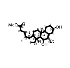 CC[C@@H]1C2C[C@H](O)CC[C@]2(C)[C@H]2CC[C@]3(C)[C@@H]([C@H](C)CCC(=O)OC)CC[C@H]3C2[C@@H]1O